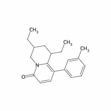 CCC1CC(CC)c2c(-c3cccc(C)c3)ccc(=O)n2C1